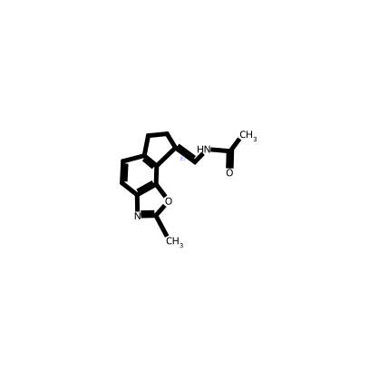 CC(=O)N/C=C1\CCc2ccc3nc(C)oc3c21